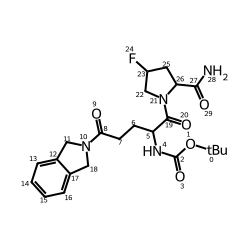 CC(C)(C)OC(=O)NC(CCC(=O)N1Cc2ccccc2C1)C(=O)N1CC(F)CC1C(N)=O